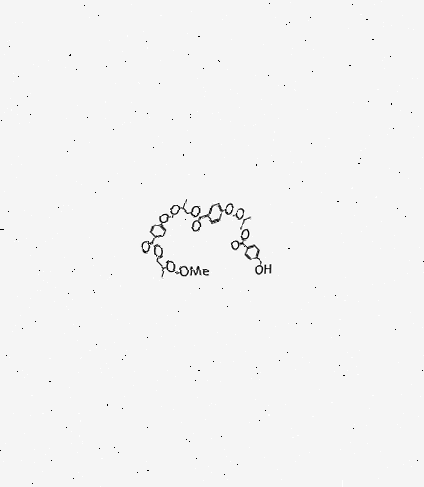 COCOC(C)COC(=O)c1ccc(OCOC(C)COC(=O)c2ccc(OCOC(C)COC(=O)c3ccc(CO)cc3)cc2)cc1